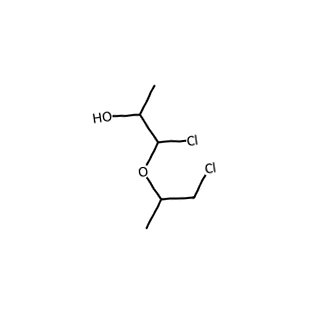 CC(CCl)OC(Cl)C(C)O